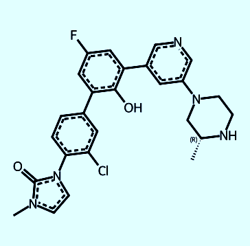 C[C@@H]1CN(c2cncc(-c3cc(F)cc(-c4ccc(-n5ccn(C)c5=O)c(Cl)c4)c3O)c2)CCN1